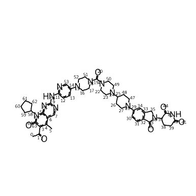 CC(=O)c1c(C)c2cnc(Nc3ccc(N4CCN(C(=O)N5CCN(C6CCN(c7ccc8c(c7)CN(C7CCC(=O)NC7=O)C8=O)CC6)CC5)CC4)cn3)nc2n(C2CCCC2)c1=O